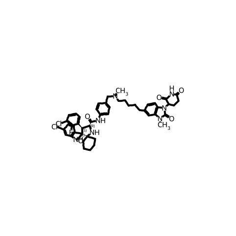 CN(CCCCCc1ccc2c(c1)n(C)c(=O)n2C1CCC(=O)NC1=O)Cc1ccc(NC(=O)[C@@H]2NC3(CCCCC3)[C@@]3(C(=O)Nc4cc(Cl)ccc43)[C@H]2c2cccc(Cl)c2F)cc1